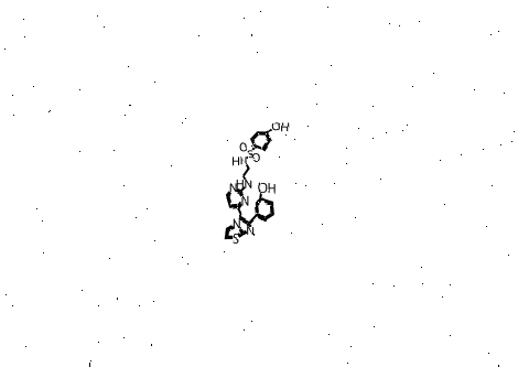 O=S(=O)(NCCNc1nccc(-c2c(-c3cccc(O)c3)nc3sccn23)n1)c1ccc(O)cc1